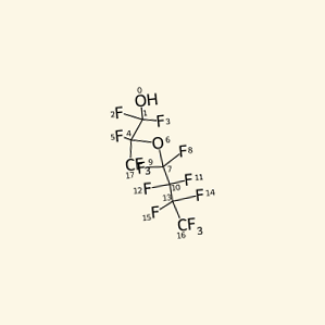 OC(F)(F)C(F)(OC(F)(F)C(F)(F)C(F)(F)C(F)(F)F)C(F)(F)F